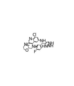 N#Cc1cnc2c(Cl)cc(N[C@H](C3=CNNN3)c3ccc(F)cc3)cc2c1NCC1CCCCO1